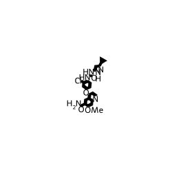 COc1cc2nccc(Oc3ccc(NC(=O)Nc4cc(C5CC5)n[nH]4)c(Cl)c3)c2cc1C(N)=O